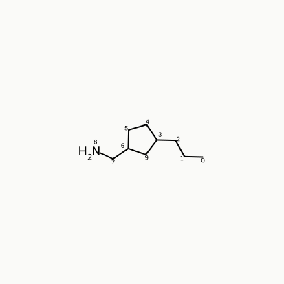 CCCC1CCC(CN)C1